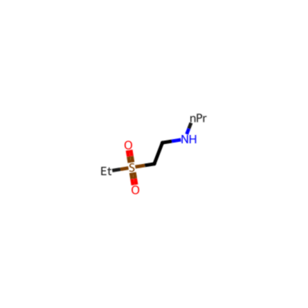 CCCNCCS(=O)(=O)CC